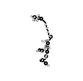 CC1(C)CCC(CN2CCN(c3ccc(C(=O)NS(=O)(=O)c4ccc(NCC5CCCN(CCOCCOCCOCC#Cc6ccc7c(c6)C(=O)N(C6CCC(=O)NC6=O)C7=O)C5)c([N+](=O)[O-])c4)c(Oc4cnc5[nH]ccc5c4)c3)CC2)=C(c2ccc(Cl)cc2)C1